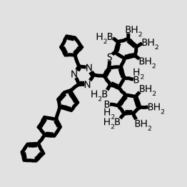 Bc1c(B)c(B)c(-c2c(B)c(-c3nc(-c4ccccc4)nc(-c4ccc(-c5ccc(-c6ccccc6)cc5)cc4)n3)c3sc4c(B)c(B)c(B)c(B)c4c3c2B)c(B)c1B